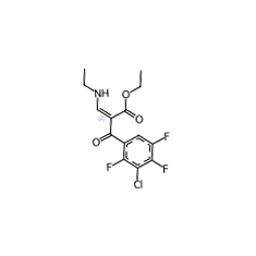 CCN/C=C(\C(=O)OCC)C(=O)c1cc(F)c(F)c(Cl)c1F